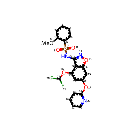 COc1ccccc1S(=O)(=O)Nc1noc2cc(Oc3ccccn3)cc(OC(F)F)c12